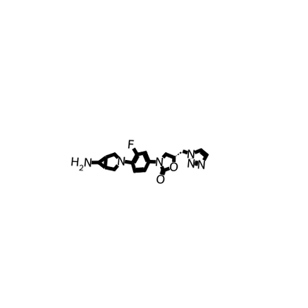 NC1C2CN(c3ccc(N4C[C@H](Cn5ccnn5)OC4=O)cc3F)CC12